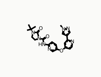 Cn1cc(-c2cc(Oc3ccc(NC(=O)N4CCN(C(C)(C)C)C4=O)nc3)ccn2)cn1